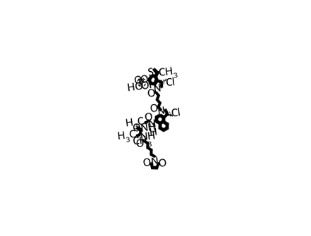 Cc1csc2c(OP(=O)(O)O)cc3c(c12)[C@H](CCl)CN3C(=O)CCCC(=O)N1C[C@@H](CCl)c2c1cc(NC(=O)C(C)NC(=O)C(NC(=O)CCCCCN1C(=O)C=CC1=O)C(C)C)c1ccccc21